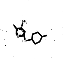 CC1CCC(Nc2cc(N)c(I)cn2)CC1